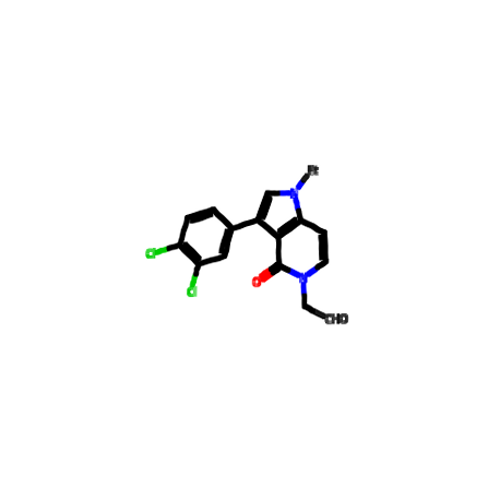 CCn1cc(-c2ccc(Cl)c(Cl)c2)c2c(=O)n(CC=O)ccc21